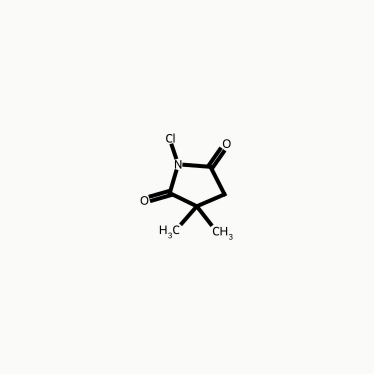 CC1(C)CC(=O)N(Cl)C1=O